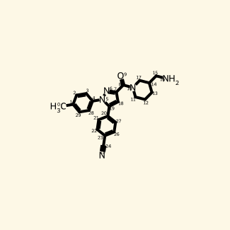 Cc1ccc(-n2nc(C(=O)N3CCCC(CN)C3)cc2-c2ccc(C#N)cc2)cc1